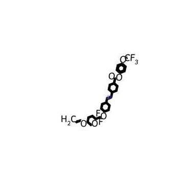 C=CCOC1CCC(C(F)(F)OC2CCC(/C=C/C3CCC(C(=O)Oc4ccc(OC(F)(F)F)cc4)CC3)CC2)OC1